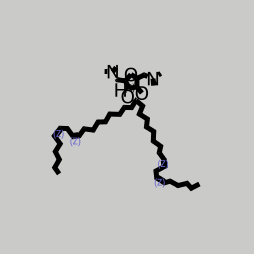 CCCCC/C=C\C/C=C\CCCCCCCCC1(CCCCCCCC/C=C\C/C=C\CCCCC)OC2C(CN(C)C)OC(CN(C)C)[C@H]2O1